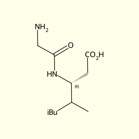 CCC(C)C(C)[C@@H](CC(=O)O)NC(=O)CN